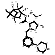 C[C@@H]1[C@@H](NC(=O)[C@@H]2[C@H]([C@H](C)O)[C@H](C)ON2Cc2cccc(N3CCNCC3)c2)C[C@H]2C[C@@H]1C2(C)C